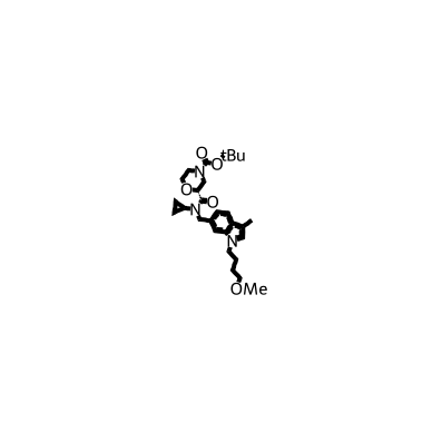 COCCCCn1cc(C)c2ccc(CN(C(=O)[C@H]3CN(C(=O)OC(C)(C)C)CCO3)C3CC3)cc21